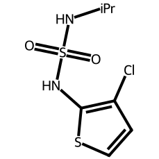 CC(C)NS(=O)(=O)Nc1sccc1Cl